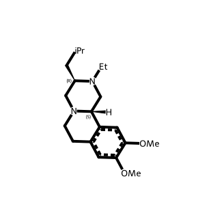 CCN1C[C@@H]2c3cc(OC)c(OC)cc3CCN2C[C@H]1CC(C)C